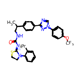 CC(C)c1ccccc1N1CCS/C1=N\C(=O)NCC(C)c1ccc(-c2ncn(-c3ccc(OC(F)(F)F)cc3)n2)cc1